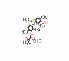 C[C@H](O)C(COc1c(C(C)(C)C)cc(SC(C)(C)Sc2cc(C(C)(C)C)c(O)c(C(C)(C)C)c2)cc1C(C)(C)C)OC=O